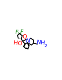 NCC1CCN(C(=O)[C@](O)(c2ccccc2)[C@@H]2CCC(F)(F)C2)CC1